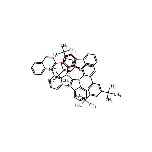 CC(C)(C)c1cc(-c2cccc(-c3cc(C(C)(C)C)cc(C(C)(C)C)c3)c2-n2c3[n+](c4ccccc42)-c2cccc4c2[N+]32c3c(ccc5c6ccccc6n(c35)-c3cccc[n+]32)-c2ccc3ccccc3c2-4)cc(C(C)(C)C)c1